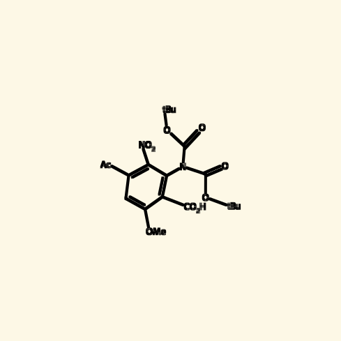 COc1cc(C(C)=O)c([N+](=O)[O-])c(N(C(=O)OC(C)(C)C)C(=O)OC(C)(C)C)c1C(=O)O